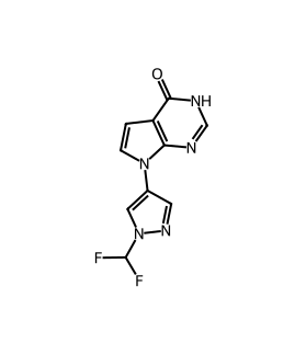 O=c1[nH]cnc2c1ccn2-c1cnn(C(F)F)c1